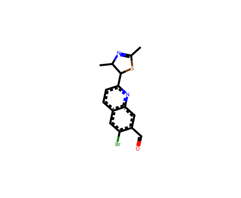 CC1=NC(C)C(c2ccc3cc(Br)c(C=O)cc3n2)S1